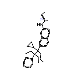 C/C=C(\C)Nc1ccc2ccc(C(CCC)(C3CC3)C(CC)(CC)c3ccccc3)cc2c1